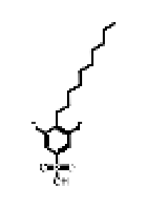 CCCCCCCCCCc1c(F)cc(S(=O)(=O)O)cc1F